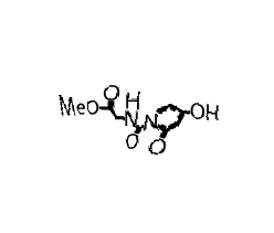 COC(=O)CNC(=O)n1ccc(O)cc1=O